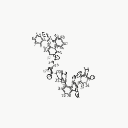 CC/C(=C(\c1ccccc1)c1ccc(OCCN(C)C(=O)CCNc2cccc3c2C(=O)N(C2CCC(=O)NC2=O)C3=O)cc1)c1ccccc1